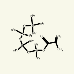 C=C(C)C(=O)O[Si](CCC)(CCC)O[Si](CCC)(CCC)O[Si](CCC)(CCC)O[Si](CCC)(CCC)CCC